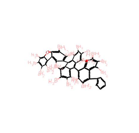 Bc1c(B)c(B)c2c(oc3c(B)c(B)c(-c4c5c(B)c(B)c(B)c(B)c5c(-c5c(B)c(B)c(-c6ccccc6)c6c(B)c(B)c(B)c(B)c56)c5c(B)c(B)c(B)c(B)c45)c(B)c32)c1B